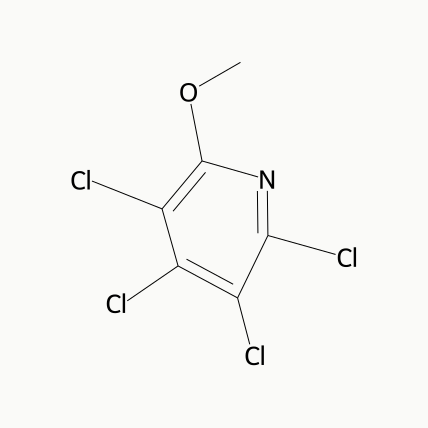 COc1nc(Cl)c(Cl)c(Cl)c1Cl